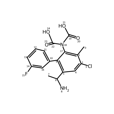 Cc1c(Cl)cc(C(C)N)c(-c2cccc(F)c2)c1N(C(=O)O)C(=O)O